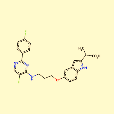 CC(C(=O)O)c1cc2cc(OCCCNc3nc(-c4ccc(F)cc4)ncc3F)ccc2[nH]1